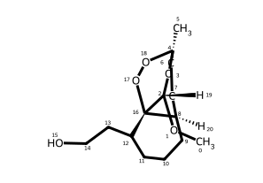 CO[C@H]1O[C@]2(C)CC[C@H]3CCCC(CCO)[C@]31OO2